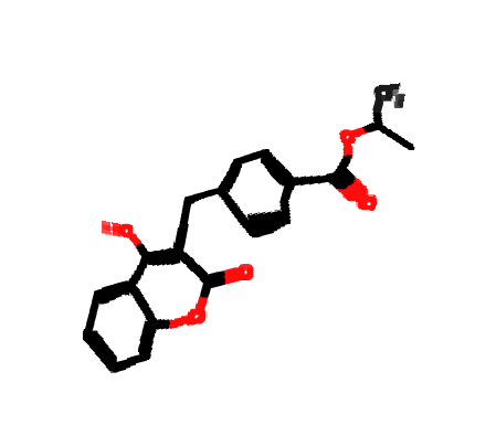 CC(OC(=O)c1ccc(Cc2c(O)c3ccccc3oc2=O)cc1)C(F)(F)F